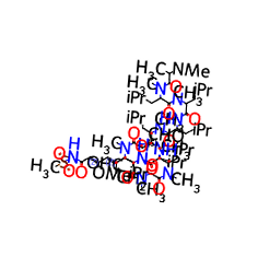 C=C/C(=C\C(=C\C(=O)NS(C)(=O)=O)OC)CC(NC(=O)C(C(C)C)N(C)C(=O)C(CC(C)C)N(C)C(=O)C(CC(C)C)NC(=O)C(CC(C)C)N(C)C(=O)C(CC(C)C)N(C)C(=O)C(C)NC)C(=O)N(C)CC(=O)N(C)C(CC(C)C)C(=O)N[C@H](C=O)CC(=O)N(C)C(C=O)CC(C)C